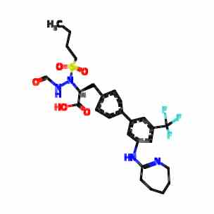 CCCCS(=O)(=O)N(NC=O)[C@@H](Cc1ccc(-c2cc(NC3=NCCCCC3)cc(C(F)(F)F)c2)cc1)C(=O)O